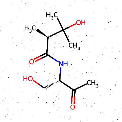 CC(=O)[C@H](CO)NC(=O)[C@@H](C)C(C)(C)O